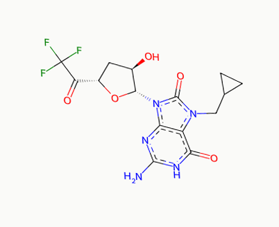 Nc1nc2c(c(=O)[nH]1)n(CC1CC1)c(=O)n2[C@@H]1O[C@H](C(=O)C(F)(F)F)C[C@H]1O